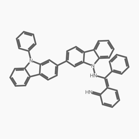 N=C1C=CC=C/C1=C(/Nn1c2ccccc2c2ccc(-c3ccc4c5ccccc5n(-c5ccccc5)c4c3)cc21)c1ccccc1